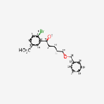 O=C(O)c1ccc(Br)c(C(=O)CCCCOCc2ccccc2)c1